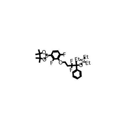 CC[Si](CC)(CC)OC(C)(c1ccccc1)C(F)(F)CCOc1c(F)ccc(B2OC(C)(C)C(C)(C)O2)c1F